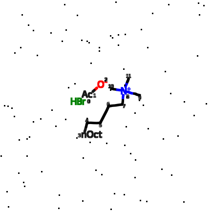 Br.CC(=O)[O-].CCCCCCCCCCCC[N+](C)(C)C